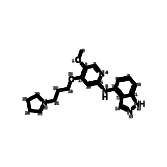 COc1cnc(Nc2cccc3[nH]ncc23)cc1OCCCN1CCCC1